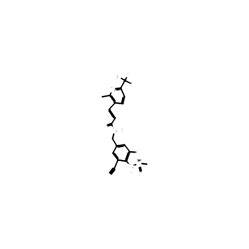 C#Cc1cc(CNC(=O)/C=C/c2ccc(C(F)(F)F)nc2C)cc(F)c1NS(C)(=O)=O